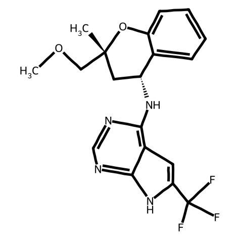 COC[C@@]1(C)C[C@@H](Nc2ncnc3[nH]c(C(F)(F)F)cc23)c2ccccc2O1